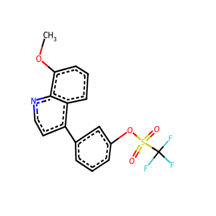 COc1cccc2c(-c3cccc(OS(=O)(=O)C(F)(F)F)c3)ccnc12